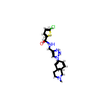 CN1CCc2cc(-n3cc(CNC(=O)c4ccc(Cl)s4)nn3)ccc2C1